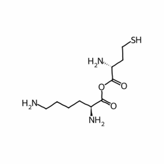 NCCCC[C@H](N)C(=O)OC(=O)[C@H](N)CCS